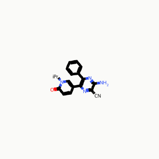 CC(C)n1cc(-c2nc(C#N)c(N)nc2-c2ccccc2)ccc1=O